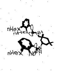 CCCCCCc1cccc(OC(=O)NCC2(C)CC(NC(=O)Oc3cccc(CCCCCC)c3CCCCCC)CC(C)(C)C2)c1CCCCCC